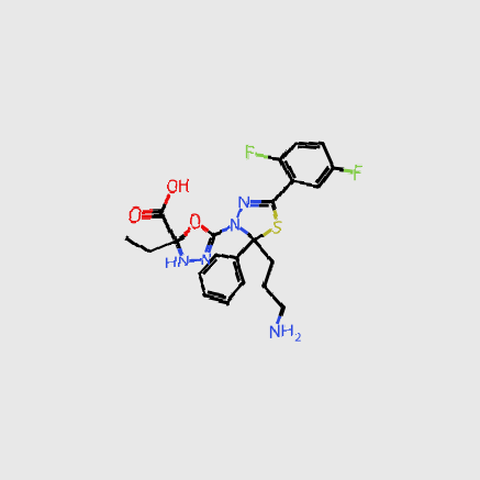 CCC1(C(=O)O)NN=C(N2N=C(c3cc(F)ccc3F)SC2(CCCN)c2ccccc2)O1